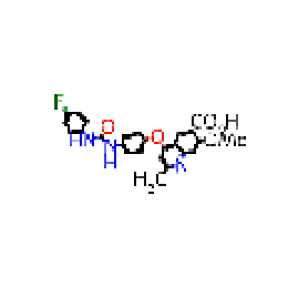 COc1cc2nc(C)cc(Oc3ccc(NC(=O)Nc4ccc(F)cc4)cc3)c2cc1C(=O)O